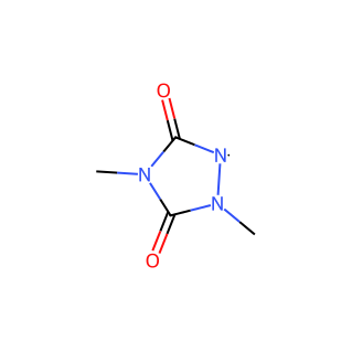 CN1[N]C(=O)N(C)C1=O